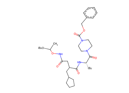 CC(C)COC(C)ONC(=O)CC(CC1CCCC1)C(=O)N[C@H](C(=O)N1CCN(C(=O)OCc2ccccc2)CC1)C(C)(C)C